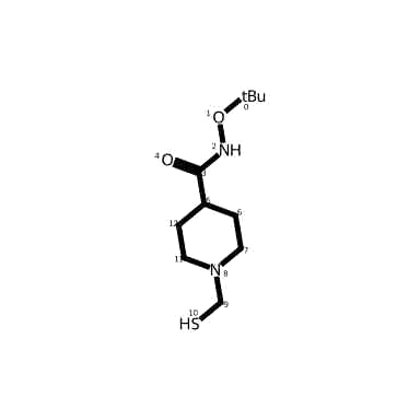 CC(C)(C)ONC(=O)C1CCN(CS)CC1